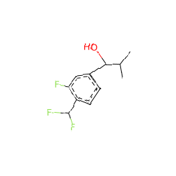 CC(C)C(O)c1ccc(C(F)F)c(F)c1